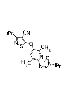 Cc1cc(Oc2snc(C(C)C)c2C#N)c(C)cc1/N=C\N(C)C(C)C